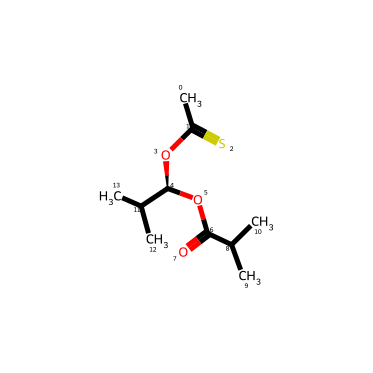 CC(=S)O[C@@H](OC(=O)C(C)C)C(C)C